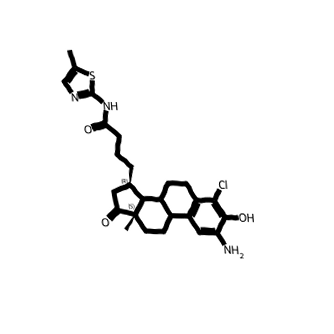 Cc1cnc(NC(=O)CCC[C@@H]2CC(=O)[C@@]3(C)CCC4c5cc(N)c(O)c(Cl)c5CCC4C23)s1